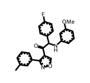 COc1cccc(NC(C(=O)c2conc2-c2cccc(C)c2)c2ccc(F)cc2)c1